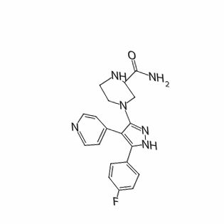 NC(=O)C1CN(c2n[nH]c(-c3ccc(F)cc3)c2-c2ccncc2)CCN1